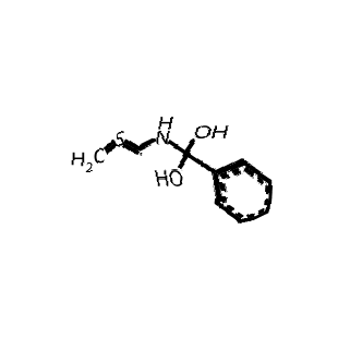 C=S=[C]NC(O)(O)c1ccccc1